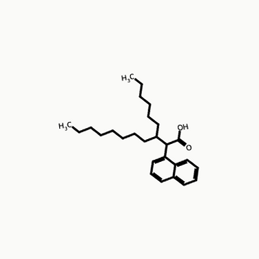 CCCCCCCCC(CCCCCC)C(C(=O)O)c1cccc2ccccc12